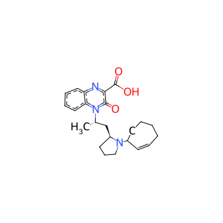 C[C@@H](C[C@@H]1CCCN1C1C=CCCCC1)n1c(=O)c(C(=O)O)nc2ccccc21